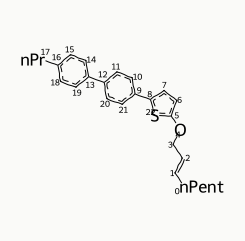 CCCCCC=CCOc1ccc(-c2ccc(-c3ccc(CCC)cc3)cc2)s1